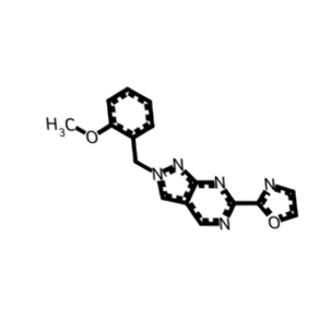 COc1ccccc1Cn1cc2cnc(-c3ncco3)nc2n1